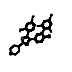 Cc1cc(F)cc(C)c1-n1cc(-c2nc(C3CCOCC3)oc2-c2ccc(F)cc2F)ccc1=O